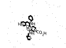 O=C(NCc1cccs1)[C@@H]1CN(C(=O)O)CCN1C(=O)C(CC1CCNCC1)NC1CCCCC1